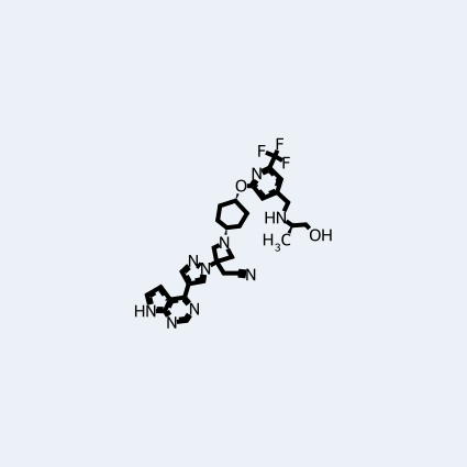 C[C@H](CO)NCc1cc(O[C@H]2CC[C@@H](N3CC(CC#N)(n4cc(-c5ncnc6[nH]ccc56)cn4)C3)CC2)nc(C(F)(F)F)c1